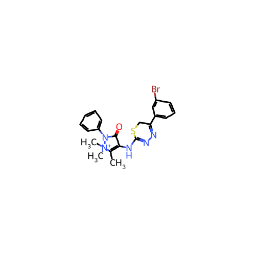 CC1=C(NC2=NN=C(c3cccc(Br)c3)CS2)C(=O)N(c2ccccc2)[N+]1(C)C